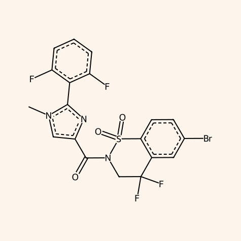 Cn1cc(C(=O)N2CC(F)(F)c3cc(Br)ccc3S2(=O)=O)nc1-c1c(F)cccc1F